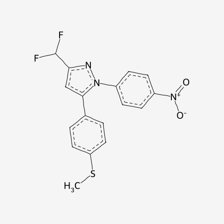 CSc1ccc(-c2cc(C(F)F)nn2-c2ccc([N+](=O)[O-])cc2)cc1